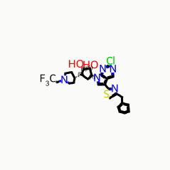 O[C@@H]1[C@H](O)[C@@H](C2CCN(CC(F)(F)F)CC2)C[C@H]1n1cc(-c2nc(Cc3ccccc3)cs2)c2cnc(Cl)nc21